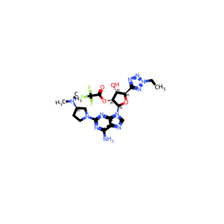 CCn1nnc([C@H]2O[C@@H](n3cnc4c(N)nc(N5CC[C@@H](N(C)C)C5)nc43)[C@H](OC(=O)C(F)(F)F)[C@@H]2O)n1